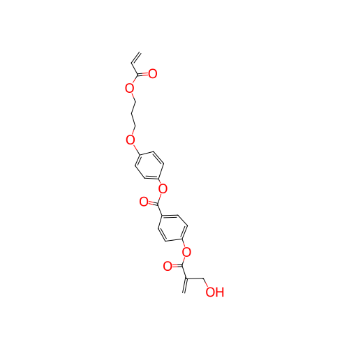 C=CC(=O)OCCCOc1ccc(OC(=O)c2ccc(OC(=O)C(=C)CO)cc2)cc1